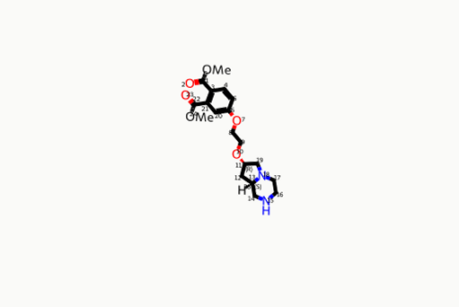 COC(=O)c1ccc(OCCO[C@@H]2C[C@H]3CNCCN3C2)cc1C(=O)OC